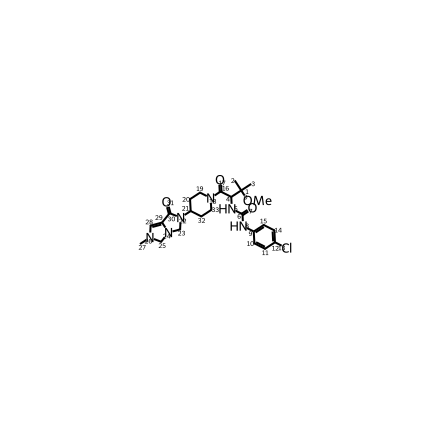 COC(C)(C)C(NC(=O)Nc1ccc(Cl)cc1)C(=O)N1CCC(N2CN3CN(C)C=C3C2=O)CC1